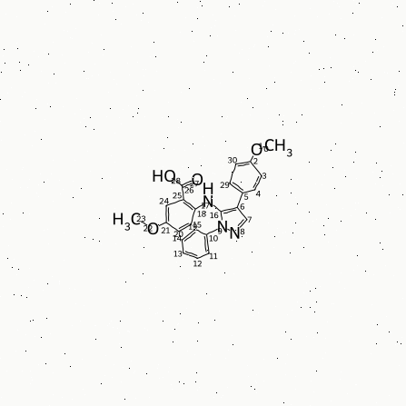 COc1ccc(-c2cnn(-c3ccccc3)c2Nc2ccc(OC)cc2C(=O)O)cc1